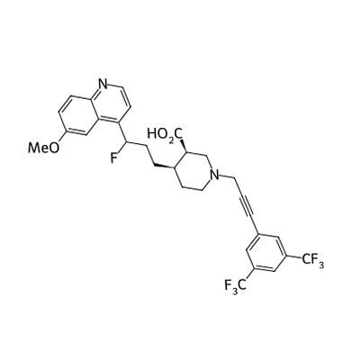 COc1ccc2nccc(C(F)CC[C@@H]3CCN(CC#Cc4cc(C(F)(F)F)cc(C(F)(F)F)c4)C[C@@H]3C(=O)O)c2c1